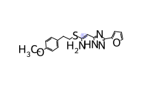 COc1ccc(CCS/C(N)=C/c2nc(-c3ccco3)n[nH]2)cc1